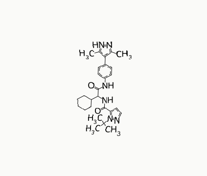 Cc1n[nH]c(C)c1-c1ccc(NC(=O)C(NC(=O)c2ccnn2C(C)(C)C)C2CCCCC2)cc1